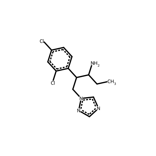 CCC(N)C(Cn1cncn1)c1ccc(Cl)cc1Cl